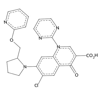 O=C(O)c1cn(-c2ncccn2)c2cc(N3CCCC3COc3ccccn3)c(Cl)cc2c1=O